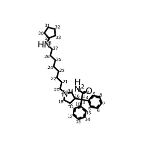 NC(=O)C(c1ccccc1)(c1ccccc1)C1CCN(CCCCCCCCNC2CCCC2)C1